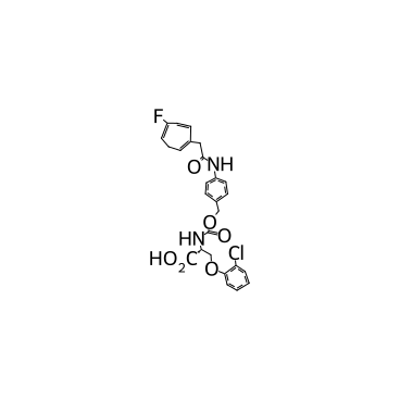 O=C(CC1=CCC=C(F)C=C1)Nc1ccc(COC(=O)N[C@@H](COc2ccccc2Cl)C(=O)O)cc1